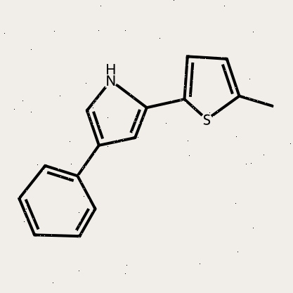 Cc1ccc(-c2cc(-c3ccccc3)c[nH]2)s1